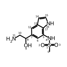 CS(=O)(=O)Nc1cc(C(O)CN)cc2cc[nH]c12